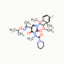 COC1C=CC(F)=CC1(C)C(Cn1cc(/C(C)=N/OC(C)C)c(=O)n(N(C)C(=O)N2CCCCC2)c1=O)OC